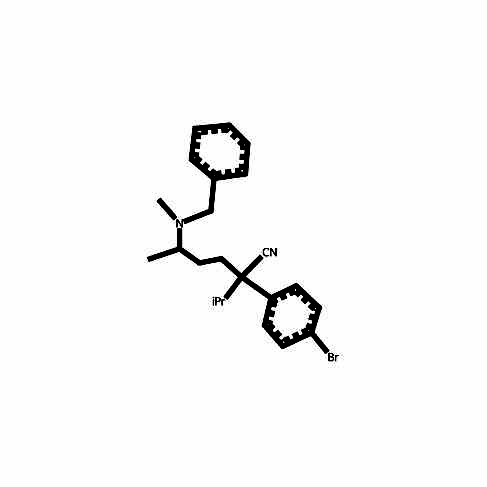 CC(CCC(C#N)(c1ccc(Br)cc1)C(C)C)N(C)Cc1ccccc1